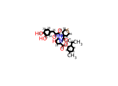 CC(C)C1CC[C@@H](C)C[C@H]1OC(=O)C1CCCN1C(=O)C1(NC(=O)C(O)Cc2ccc(O)c(O)c2)CCSCC1